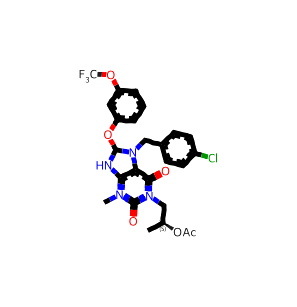 CC(=O)O[C@@H](C)Cn1c(=O)c2c(n(C)c1=O)NC(Oc1cccc(OC(F)(F)F)c1)N2Cc1ccc(Cl)cc1